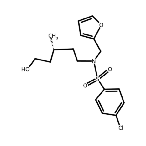 C[C@@H](CCO)CCN(Cc1ccco1)S(=O)(=O)c1ccc(Cl)cc1